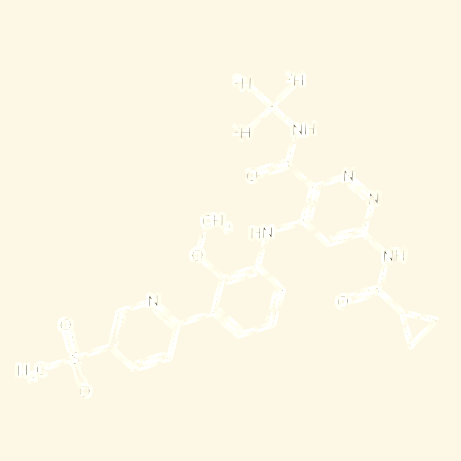 [2H]C([2H])([2H])NC(=O)c1nnc(NC(=O)C2CC2)cc1Nc1cccc(-c2ccc(S(C)(=O)=O)cn2)c1OC